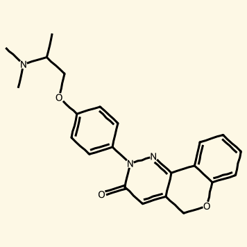 CC(COc1ccc(-n2nc3c(cc2=O)COc2ccccc2-3)cc1)N(C)C